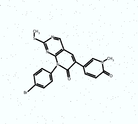 CSc1ncc2cc(-c3ccc(=O)n(C)c3)c(=O)n(-c3ccc(Br)cc3)c2n1